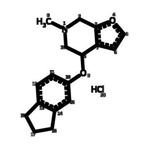 CN1Cc2occc2C(Oc2ccc3c(c2)CCC3)C1.Cl